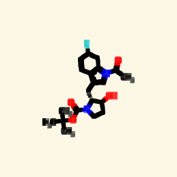 CC(=O)n1cc(C[C@@H]2[C@@H](O)CCN2C(=O)OC(C)(C)C)c2c1CC(F)C=C2